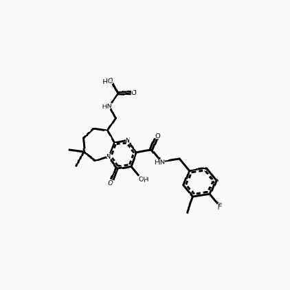 Cc1cc(CNC(=O)c2nc3n(c(=O)c2O)CC(C)(C)CCC3CNC(=O)O)ccc1F